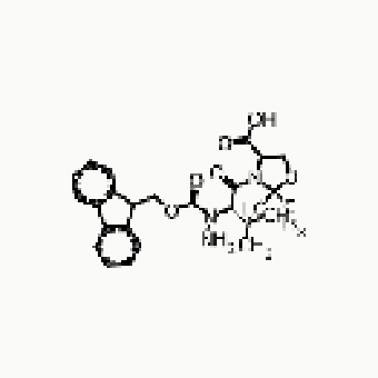 CC(C)[C@@H](C(=O)N1C(C(=O)O)COC1(C)C)N(N)C(=O)OCC1c2ccccc2-c2ccccc21